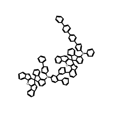 c1ccc(-c2ccc(-c3ccc(-c4ccc(N(c5ccccc5)c5cccc6c5-c5ccccc5C65c6ccc7ccccc7c6Oc6c5ccc5cccc(-c7cccc(-c8cc(N(c9ccc(-c%10ccccc%10)cc9)c9cccc%10c9-c9ccccc9C%109c%10ccc%11ccccc%11c%10Oc%10c9ccc9ccccc%109)ccc8-c8ccccc8)c7)c65)cc4)cc3)cc2)cc1